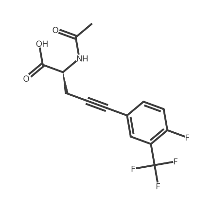 CC(=O)N[C@@H](CC#Cc1ccc(F)c(C(F)(F)F)c1)C(=O)O